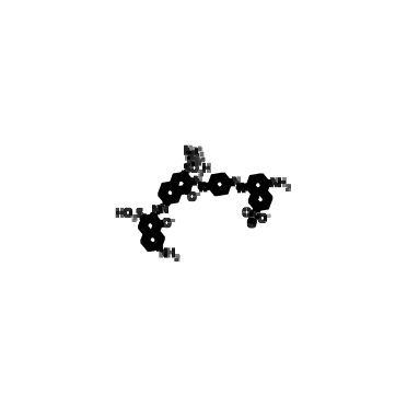 Nc1ccc2cc(S(=O)(=O)O)c(N=Nc3ccc4cc(S(=O)(=O)O)c(N=Nc5ccc(N=Nc6ccc(N)c7ccc(S(=O)(=O)[O-])cc67)cc5)c([O-])c4c3)c([O-])c2c1.[Na+].[Na+].[Na+]